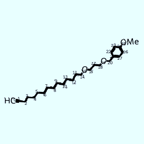 C#CCCCCCCCCCCCCCOCCCOCc1ccc(OC)cc1